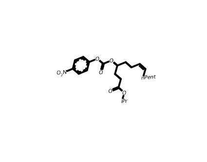 [CH2]C([CH2])OC(=O)CCC(CC/C=C\CCCCC)OC(=O)Oc1ccc([N+](=O)[O-])cc1